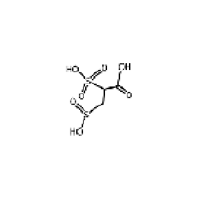 O=C(O)C(CS(=O)O)S(=O)(=O)O